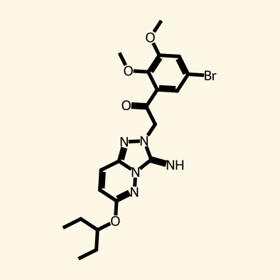 CCC(CC)Oc1ccc2nn(CC(=O)c3cc(Br)cc(OC)c3OC)c(=N)n2n1